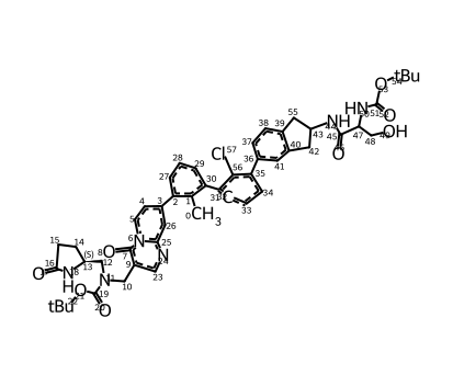 Cc1c(-c2ccn3c(=O)c(CN(C[C@@H]4CCC(=O)N4)C(=O)OC(C)(C)C)cnc3c2)cccc1-c1cccc(-c2ccc3c(c2)CC(NC(=O)C(CO)NC(=O)OC(C)(C)C)C3)c1Cl